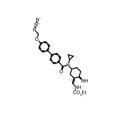 CCOC(=O)N/C=C1/CC(N(C(=O)c2ccc(-c3ccc(OCN=[N+]=[N-])cc3)cc2)C2CC2)CCC1=N